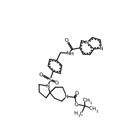 CC(C)(C)OC(=O)N1CCC2(CCCN2S(=O)(=O)c2ccc(CNC(=O)c3ccc4nccn4c3)cc2)CC1